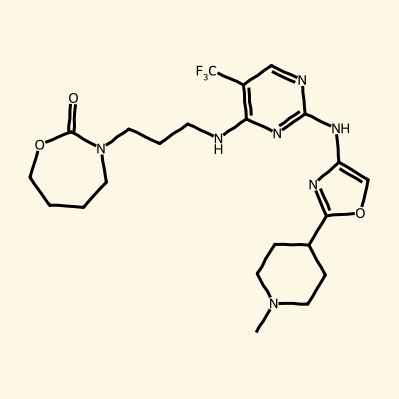 CN1CCC(c2nc(Nc3ncc(C(F)(F)F)c(NCCCN4CCCCOC4=O)n3)co2)CC1